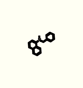 CN(Cc1ccccc1)c1cccc2ccccc12